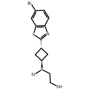 CCN(CCO)[C@H]1C[C@H](c2nc3ccc(Br)cc3s2)C1